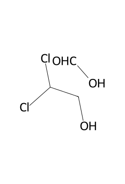 O=CO.OCC(Cl)Cl